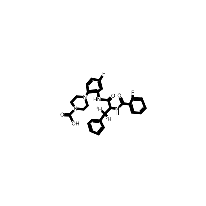 [2H]C([2H])(c1ccccc1)C(NC(=O)c1ccccc1F)C(=O)Nc1cc(F)ccc1N1CCN(C(=O)O)CC1